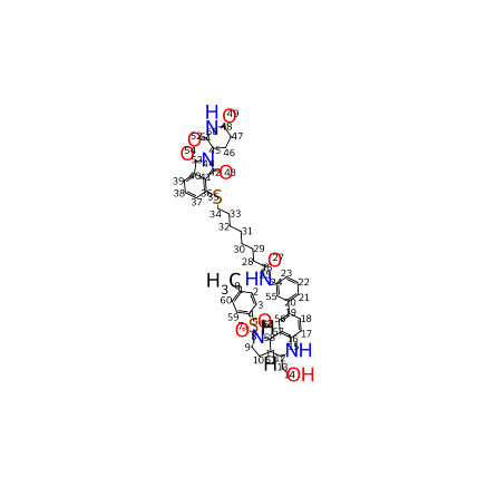 Cc1ccc(S(=O)(=O)N2CC[C@@H]3[C@H](CO)Nc4ccc(-c5cccc(NC(=O)CCCCCCCSc6cccc7c6C(=O)N(C6CCC(=O)NC6=O)C7=O)c5)cc4[C@@H]32)cc1